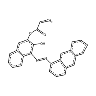 C=CC(=O)Oc1cc2ccccc2c(N=Nc2cccc3cc4ccccc4cc23)c1O